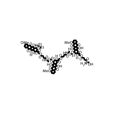 CCOC(CC)O[C@H]1C[C@](O)(C(=O)COC(=O)CCC(=O)NC(C)OC(CC)O[C@H]2C[C@](O)(C(=O)COC(=O)CCC(=O)NC(C)OC(CC)O[C@H]3C[C@](O)(C(=O)COC(=O)CCC(=O)N(N)CO)Cc4c(O)c5c(c(O)c43)C(=O)c3c(OC)cccc3C5=O)Cc3c(O)c4c(c(O)c32)C(=O)c2c(OC)cccc2C4=O)Cc2c(O)c3c(c(O)c21)C(=O)c1c(OC)cccc1C3=O